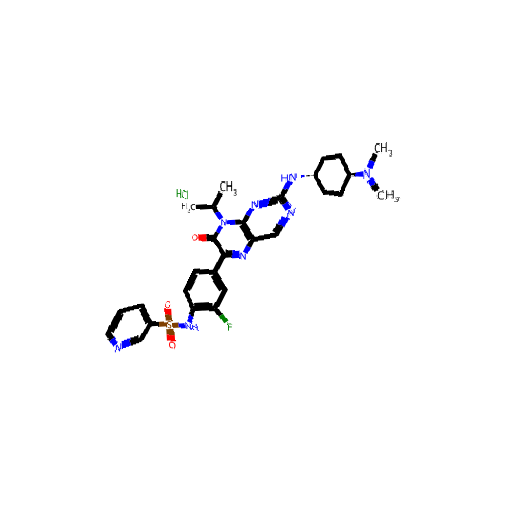 CC(C)n1c(=O)c(-c2ccc(NS(=O)(=O)c3cccnc3)c(F)c2)nc2cnc(N[C@H]3CC[C@H](N(C)C)CC3)nc21.Cl